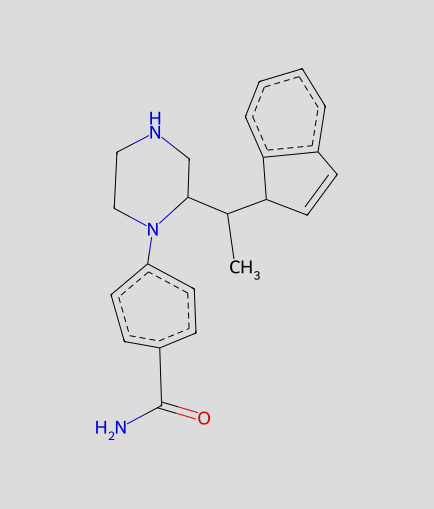 CC(C1C=Cc2ccccc21)C1CNCCN1c1ccc(C(N)=O)cc1